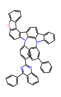 c1ccc(-c2cccc(-n3c4ccccc4c4ccc5c6c7c(ccc6n(-c6ccc(-c8nc(-c9ccccc9)c9ccccc9n8)cc6)c5c43)oc3ccccc37)c2)cc1